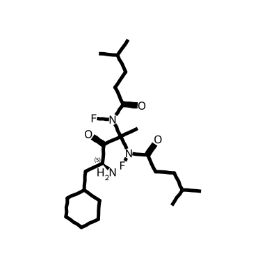 CC(C)CCC(=O)N(F)C(C)(C(=O)[C@@H](N)CC1CCCCC1)N(F)C(=O)CCC(C)C